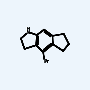 CC(C)c1c2c(cc3c1CCN3)CCC2